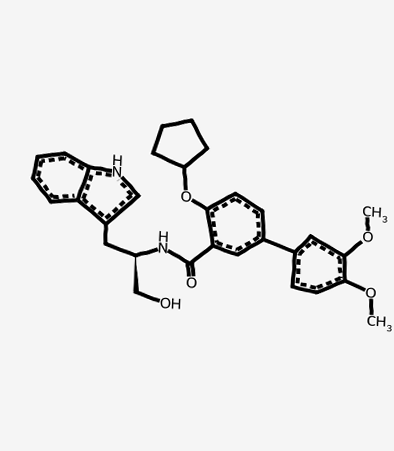 COc1ccc(-c2ccc(OC3CCCC3)c(C(=O)N[C@@H](CO)Cc3c[nH]c4ccccc34)c2)cc1OC